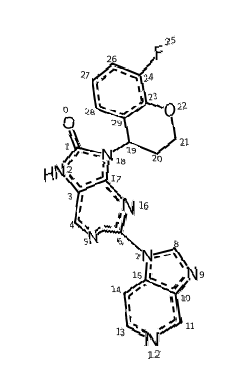 O=c1[nH]c2cnc(-n3cnc4cnccc43)nc2n1C1CCOc2c(F)cccc21